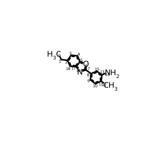 CCc1ccc2oc(-c3ccc(C)c(N)c3)nc2c1